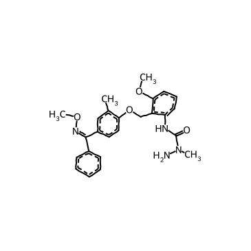 CON=C(c1ccccc1)c1ccc(OCc2c(NC(=O)N(C)N)cccc2OC)c(C)c1